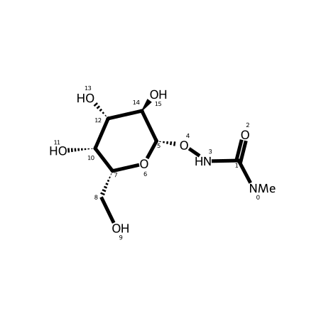 CNC(=O)NO[C@@H]1O[C@H](CO)[C@H](O)[C@H](O)[C@H]1O